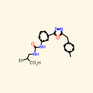 CCC(CNC(=O)Nc1cccc(-c2nnc(Cc3ccc(C)cc3)o2)c1)C(=O)O